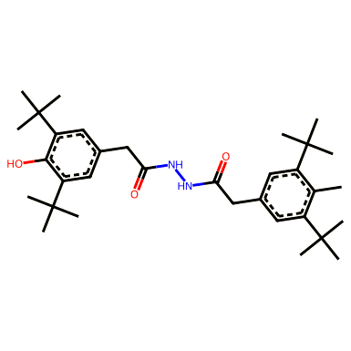 Cc1c(C(C)(C)C)cc(CC(=O)NNC(=O)Cc2cc(C(C)(C)C)c(O)c(C(C)(C)C)c2)cc1C(C)(C)C